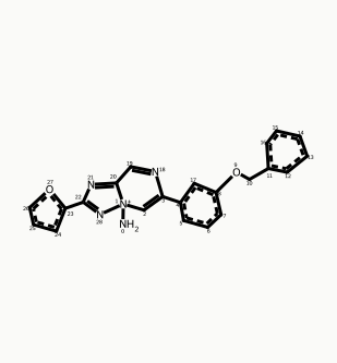 N[N+]12C=C(c3cccc(OCc4ccccc4)c3)N=CC1=NC(c1ccco1)=N2